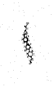 C=CCC1CCC(c2ccc(-c3ccc(COCC=CC)cc3)cc2)CC1